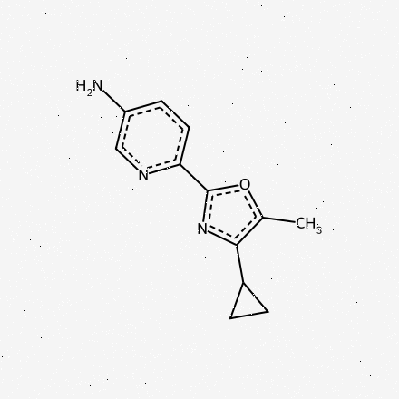 Cc1oc(-c2ccc(N)cn2)nc1C1CC1